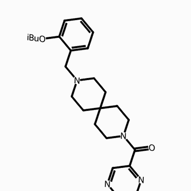 CC(C)COc1ccccc1CN1CCC2(CC1)CCN(C(=O)c1cnccn1)CC2